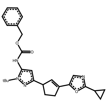 CC(C)(C)n1nc(C2C=C(c3cnc(C4CC4)o3)CC2)cc1NC(=O)OCc1ccccc1